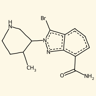 CC1CCNCC1n1nc2c(C(N)=O)cccc2c1Br